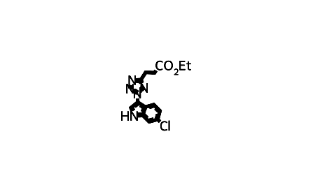 CCOC(=O)CCc1nnn(-c2c[nH]c3cc(Cl)ccc23)n1